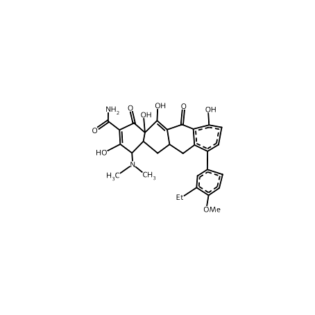 CCc1cc(-c2ccc(O)c3c2CC2CC4C(N(C)C)C(O)=C(C(N)=O)C(=O)C4(O)C(O)=C2C3=O)ccc1OC